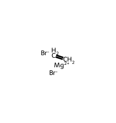 C=C.[Br-].[Br-].[Mg+2]